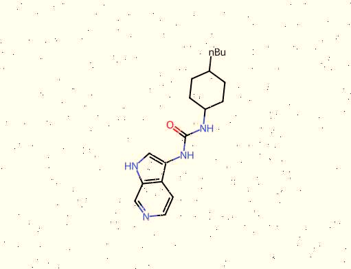 CCCCC1CCC(NC(=O)Nc2c[nH]c3cnccc23)CC1